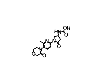 Cc1nc(N2CC(NC(=O)O)CC2=O)ccc1N1CCOCC1=O